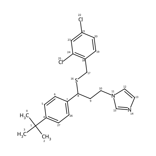 CC(C)(C)c1ccc(C(CCn2ccnc2)SCc2ccc(Cl)cc2Cl)cc1